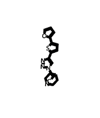 c1coc(-c2ccc(-c3cn(C4CN5CCC4CC5)nn3)s2)c1